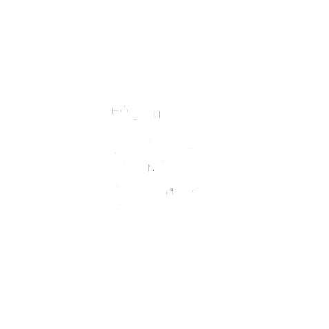 OB(O)c1ccc2c3ccccc3n(-c3cccc4c3oc3ccccc34)c2c1